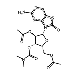 CC(=O)OC[C@H]1O[C@@H](n2c(=O)sc3cnc(N)nc32)[C@H](OC(C)=O)[C@H]1OC(=O)N(C)C